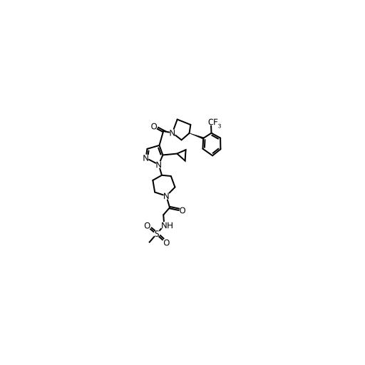 CS(=O)(=O)NCC(=O)N1CCC(n2ncc(C(=O)N3CC[C@@H](c4ccccc4C(F)(F)F)C3)c2C2CC2)CC1